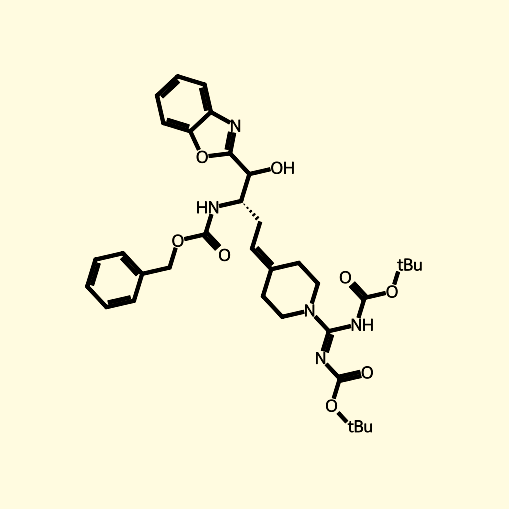 CC(C)(C)OC(=O)/N=C(\NC(=O)OC(C)(C)C)N1CCC(=CC[C@H](NC(=O)OCc2ccccc2)C(O)c2nc3ccccc3o2)CC1